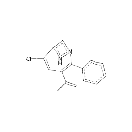 C=C(C)C1=C(c2ccccc2)n2cc([nH]2)C(Cl)=C1